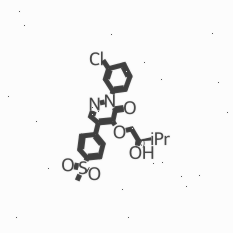 CC(C)[C@@H](O)COc1c(-c2ccc(S(C)(=O)=O)cc2)cnn(-c2cccc(Cl)c2)c1=O